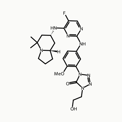 COc1ccc(Nc2ncc(F)c(N[C@@H]3C[C@@H]4CCCN4C(C)(C)C3)n2)cc1-n1nnn(CCO)c1=O